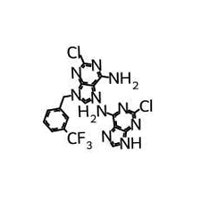 Nc1nc(Cl)nc2[nH]cnc12.Nc1nc(Cl)nc2c1ncn2Cc1cccc(C(F)(F)F)c1